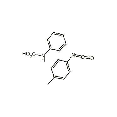 Cc1ccc(N=C=O)cc1.O=C(O)Nc1ccccc1